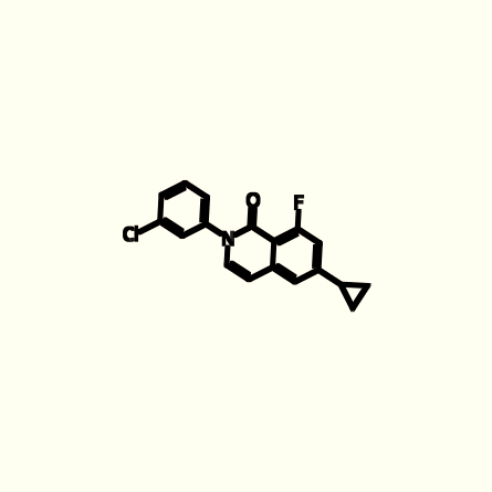 O=c1c2c(F)cc(C3CC3)cc2ccn1-c1cccc(Cl)c1